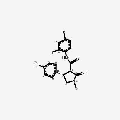 Cc1ccc(NC(=O)[C@H]2C(=O)N(C)C[C@@H]2c2ccc(C(F)(F)F)cc2)c(C)c1